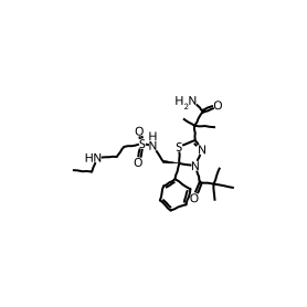 CCNCCS(=O)(=O)NC[C@@]1(c2ccccc2)SC(C(C)(C)C(N)=O)=NN1C(=O)C(C)(C)C